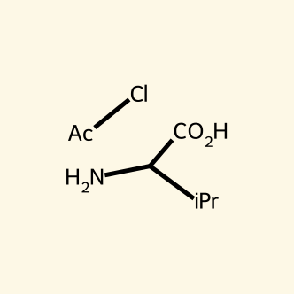 CC(=O)Cl.CC(C)C(N)C(=O)O